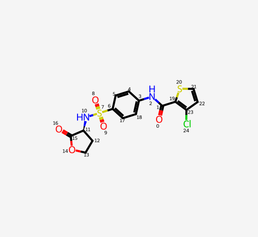 O=C(Nc1ccc(S(=O)(=O)N[C@H]2CCOC2=O)cc1)c1sccc1Cl